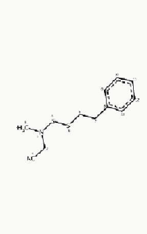 [CH2]N(CC#N)SSCCc1ccccc1